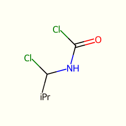 CC(C)C(Cl)NC(=O)Cl